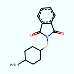 [CH2]C(=O)NC1CCC(SN2C(=O)c3ccccc3C2=O)CC1